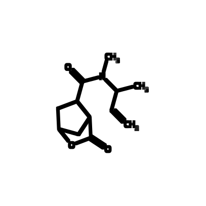 C=CC(C)N(C)C(=O)C1CC2CC1C(=O)O2